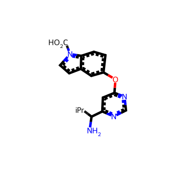 CC(C)C(N)c1cc(Oc2ccc3c(ccn3C(=O)O)c2)ncn1